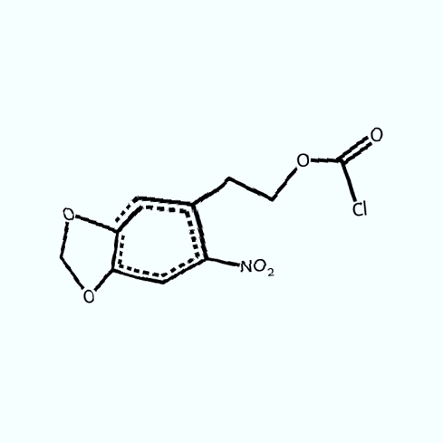 O=C(Cl)OCCc1cc2c(cc1[N+](=O)[O-])OCO2